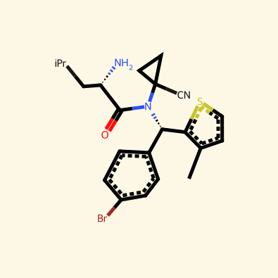 Cc1ccsc1[C@H](c1ccc(Br)cc1)N(C(=O)[C@@H](N)CC(C)C)C1(C#N)CC1